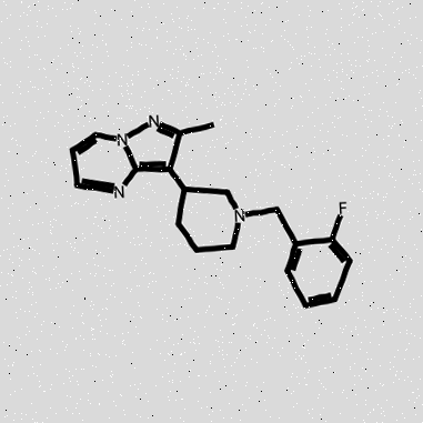 Cc1nn2cccnc2c1C1CCCN(Cc2ccccc2F)C1